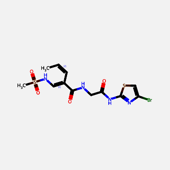 C/C=C\C(=C/NS(C)(=O)=O)C(=O)NCC(=O)Nc1nc(Br)cs1